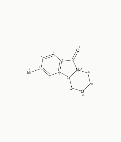 O=C1c2ccc(Br)cc2C2COCCN12